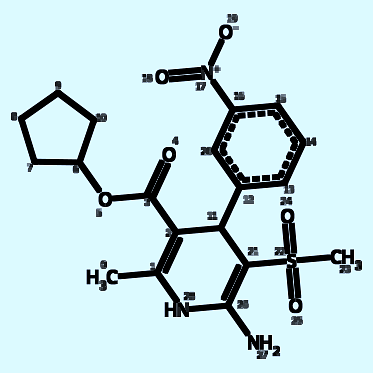 CC1=C(C(=O)OC2CCCC2)C(c2cccc([N+](=O)[O-])c2)C(S(C)(=O)=O)=C(N)N1